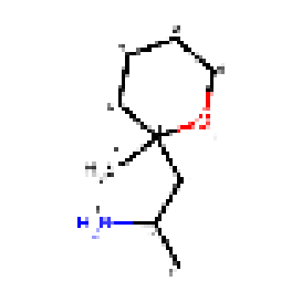 CC(N)CC1([SiH3])CCCCO1